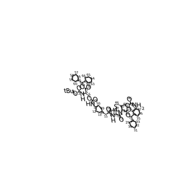 CC(C)(C)OC(=O)NC(COC(=O)Nc1ccc(CC(=O)N[C@@H]2C(=O)N3C(C(=O)OC(c4ccccc4)c4ccccc4)=C(COC(N)=O)CS[C@H]23)cc1)C(=O)OC(c1ccccc1)c1ccccc1